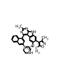 COc1cc2c(cc1-c1c(C)noc1C)[nH]c1nc(C)nc(-c3cc(N4CCNCC4)cc4ccccc34)c12